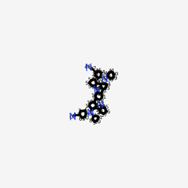 N#Cc1ccc(N(c2ccccc2)c2ccc3c4cc5c(cc4n4c6ccccc6c2c34)c2ccc(N(c3ccccc3)c3ccc(C#N)cc3)c3c4ccccc4n5c23)cc1